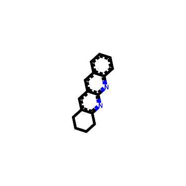 c1ccc2nc3nc4c(cc3cc2c1)CCCC4